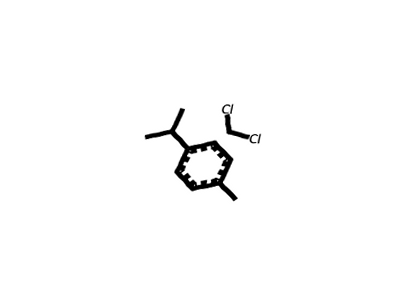 Cc1ccc(C(C)C)cc1.ClCCl